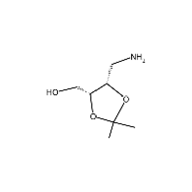 CC1(C)O[C@@H](CN)[C@@H](CO)O1